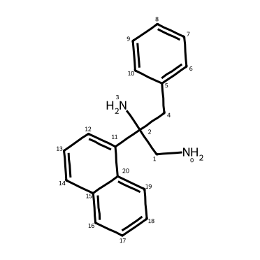 NCC(N)(Cc1ccccc1)c1cccc2ccccc12